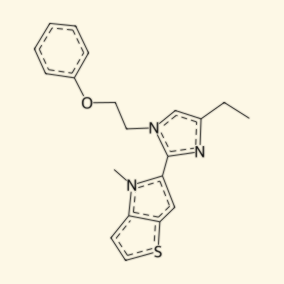 CCc1cn(CCOc2ccccc2)c(-c2cc3sccc3n2C)n1